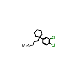 CNCCCC1(c2ccc(Cl)c(Cl)c2)CCCCC1